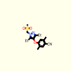 CCc1nn(CS(C)(=O)=O)c(CC)c1Oc1cc(C)c(C#N)cc1C